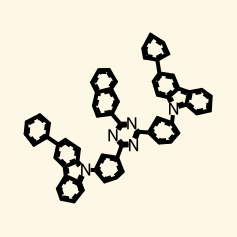 c1ccc(-c2ccc3c(c2)c2ccccc2n3-c2cccc(-c3nc(-c4cccc(-n5c6ccccc6c6cc(-c7ccccc7)ccc65)c4)nc(-c4ccc5ccccc5c4)n3)c2)cc1